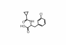 O=C(NC(Cc1cccc(Cl)c1)C(=O)O)C1CC1